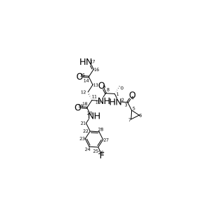 C[C@H](NC(=O)C1CC1)C(=O)N[C@@H](CCC(=O)C=N)C(=O)NCc1ccc(F)cc1